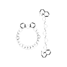 c1ccc2c(c1)OCCOCCOCCOCCOCCOCCOc1ccccc1O2.c1cnc2c(OCCOCCOCCOCCOc3cccc4cccnc34)cccc2c1